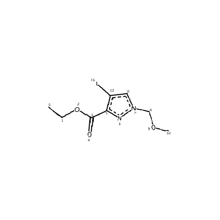 CCOC(=O)c1nn(COC)cc1I